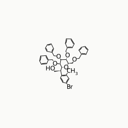 Cc1cc(Br)ccc1[C@@H](CO)[C@H]1O[C@H](COCc2ccccc2)[C@@H](OCc2ccccc2)[C@H](OCc2ccccc2)[C@@H]1OCc1ccccc1